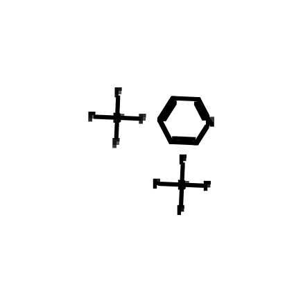 F[B-](F)(F)F.F[B-](F)(F)F.c1ccncc1